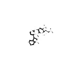 CNC1(CCN(C)C)NC(OC)=C(Nc2nccc(-c3cn(C)c4ccccc34)n2)C=C1[N+](=O)[O-]